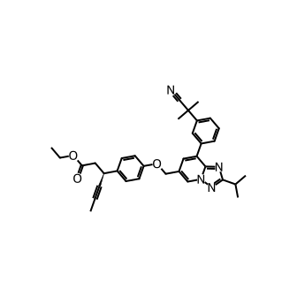 CC#C[C@@H](CC(=O)OCC)c1ccc(OCc2cc(-c3cccc(C(C)(C)C#N)c3)c3nc(C(C)C)nn3c2)cc1